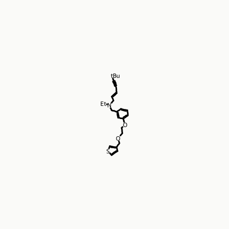 CCN(CC=CC#CC(C)(C)C)Cc1cccc(OCCOCc2ccsc2)c1